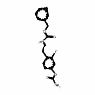 NC(=O)Oc1ccc(CCNC(=O)OCc2ccccc2)c(F)c1